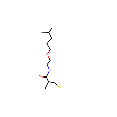 CC(C)CCCOCCNC(=O)C(C)CS